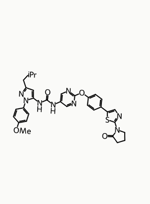 COc1ccc(-n2nc(CC(C)C)cc2NC(=O)Nc2cnc(Oc3ccc(-c4cnc(N5CCCC5=O)s4)cc3)nc2)cc1